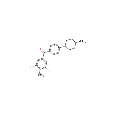 Cc1c(F)cc(C(=O)c2ccc(C3CCC(C)CC3)cc2)cc1F